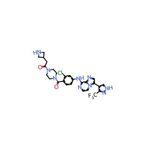 O=C(CC1CNC1)N1CCN(C(=O)c2ccc(Nc3nccn4c(-c5c[nH]nc5C(F)(F)F)cnc34)cc2Cl)CC1